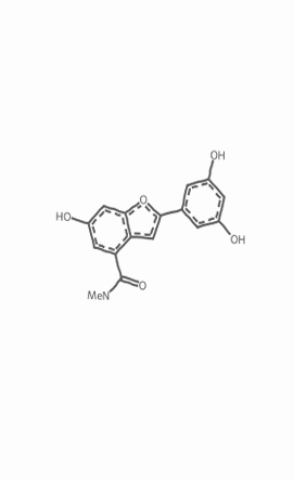 CNC(=O)c1cc(O)cc2oc(-c3cc(O)cc(O)c3)cc12